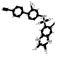 C#Cc1ccc(-c2ccc(NS(=O)(=O)c3cc4[nH]c(=O)c(=O)[nH]c4cc3C)cc2C(F)(F)F)cc1